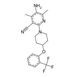 Cc1nc(N2CCC(Oc3ccccc3C(F)(F)F)CC2)c(C#N)c(C)c1N